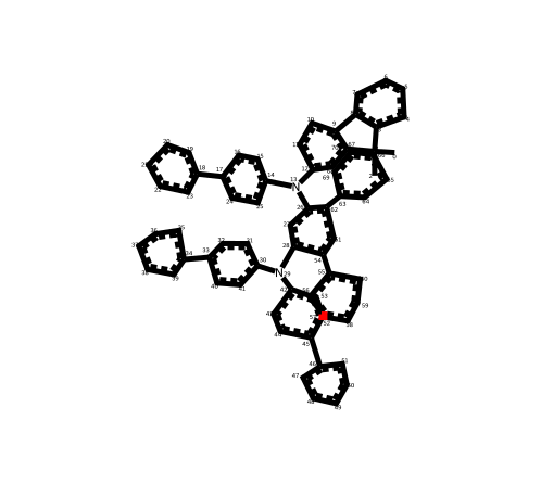 CC1(C)c2ccccc2-c2ccc(N(c3ccc(-c4ccccc4)cc3)c3cc(N(c4ccc(-c5ccccc5)cc4)c4ccc(-c5ccccc5)cc4)c(-c4ccccc4)cc3-c3ccccc3)cc21